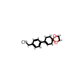 [C-]#[N+]Cc1ccc(C2=CCC3(CC2)OCCO3)cc1